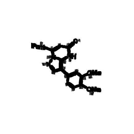 CCCC(C)c1cc(=O)[nH]c2c(-c3ccc(OC)c(OC)c3)cnn12